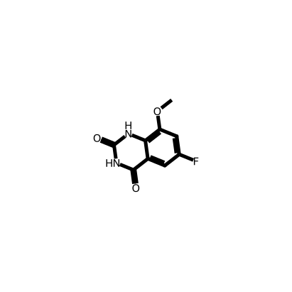 COc1cc(F)cc2c(=O)[nH]c(=O)[nH]c12